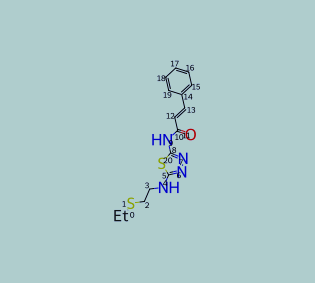 CCSCCNc1nnc(NC(=O)/C=C/c2ccccc2)s1